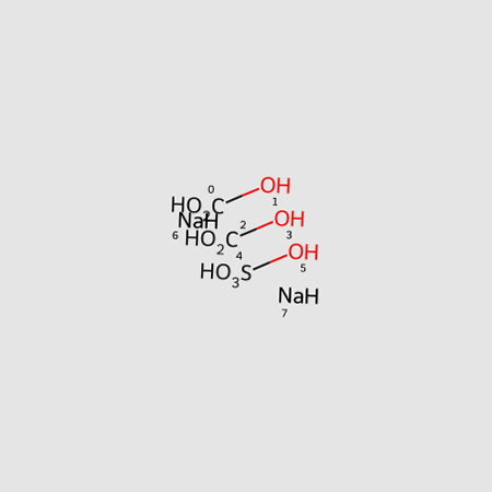 O=C(O)O.O=C(O)O.O=S(=O)(O)O.[NaH].[NaH]